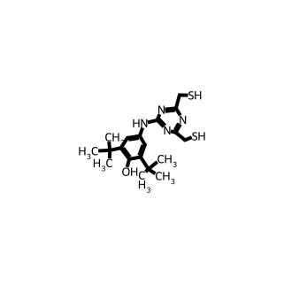 CC(C)(C)c1cc(Nc2nc(CS)nc(CS)n2)cc(C(C)(C)C)c1O